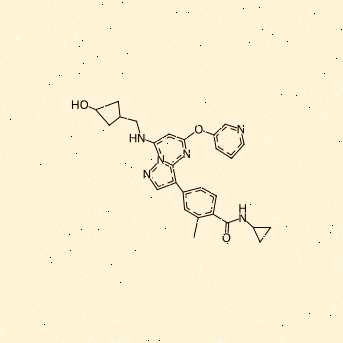 Cc1cc(-c2cnn3c(NCC4CC(O)C4)cc(Oc4cccnc4)nc23)ccc1C(=O)NC1CC1